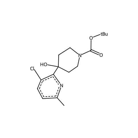 Cc1ccc(Cl)c(C2(O)CCN(C(=O)OC(C)(C)C)CC2)n1